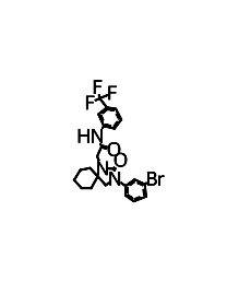 O=C(CN1C(=O)N(c2cccc(Br)c2)CC12CCCCC2)Nc1cccc(C(F)(F)F)c1